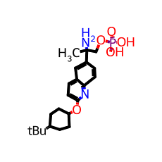 CC(N)(COP(=O)(O)O)c1ccc2nc(OC3CCC(C(C)(C)C)CC3)ccc2c1